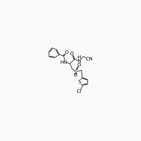 N#CCNC(=O)C(CS(=O)(=O)Cc1ccc(Cl)s1)NC(=O)c1ccccc1